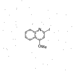 COc1cc(I)nc2ccccc12